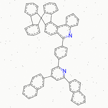 c1ccc2c(c1)-c1ccccc1C21c2ccccc2-c2c1ccc1c(-c3ccc(-c4cc(-c5ccc6ccccc6c5)cc(-c5ccc6ccccc6c5)n4)cc3)nc3ccccc3c21